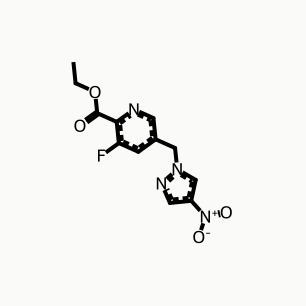 CCOC(=O)c1ncc(Cn2cc([N+](=O)[O-])cn2)cc1F